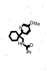 COc1ccc(C2(CNC(=O)C(C)C)CCCCC2)nc1